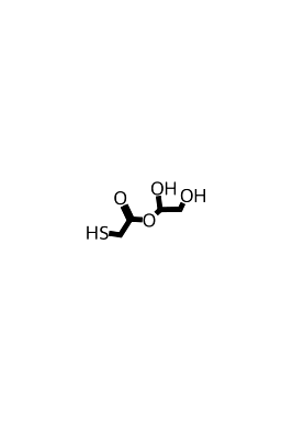 O=C(CS)OC(O)CO